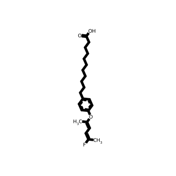 C/C(F)=C\C=C(/C)Oc1ccc(CCCCCCCCCCC(=O)O)cc1